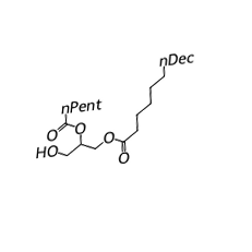 CCCCCCCCCCCCCCCC(=O)OCC(CO)OC(=O)CCCCC